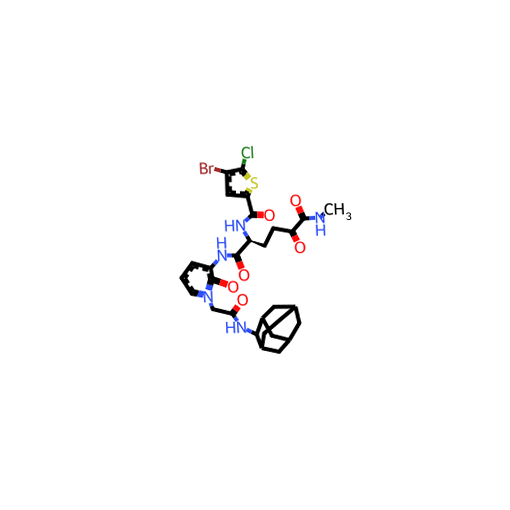 CNC(=O)C(=O)CC[C@H](NC(=O)c1cc(Br)c(Cl)s1)C(=O)Nc1cccn(CC(=O)NC2C3CC4CC(C3)CC2C4)c1=O